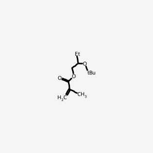 C=C(C)C(=O)OCC(CC)OC(C)(C)C